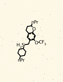 CCCC1CCC([SiH2]Cc2cc3c(cc2OC(F)(F)F)OC(CCC)CC3)CC1